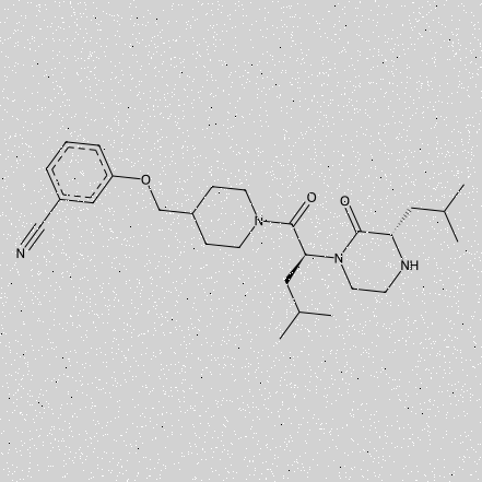 CC(C)C[C@@H]1NCCN([C@@H](CC(C)C)C(=O)N2CCC(COc3cccc(C#N)c3)CC2)C1=O